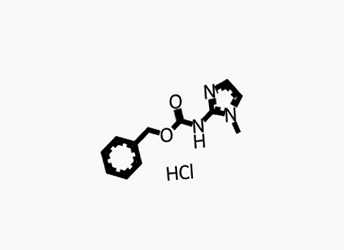 Cl.Cn1ccnc1NC(=O)OCc1ccccc1